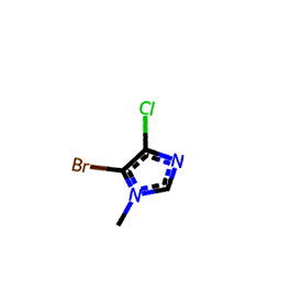 Cn1cnc(Cl)c1Br